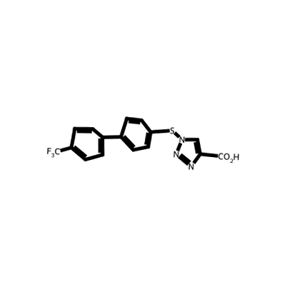 O=C(O)c1cn(Sc2ccc(-c3ccc(C(F)(F)F)cc3)cc2)nn1